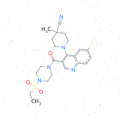 CCS(=O)(=O)N1CCN(C(=O)c2cnc3ccc(F)cc3c2N2CCC(C)(C#N)CC2)CC1